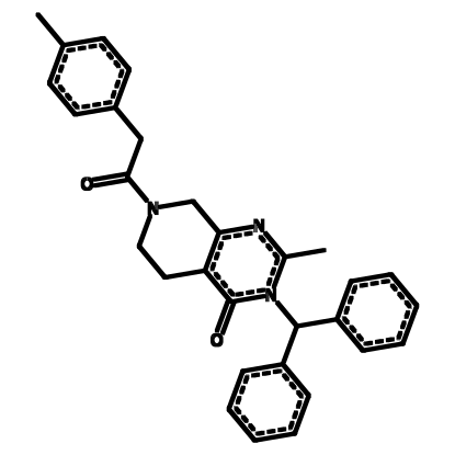 Cc1ccc(CC(=O)N2CCc3c(nc(C)n(C(c4ccccc4)c4ccccc4)c3=O)C2)cc1